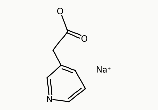 O=C([O-])Cc1cccnc1.[Na+]